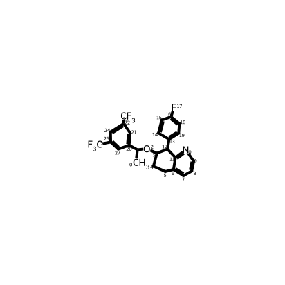 CC(OC1CCc2cccnc2C1c1ccc(F)cc1)c1cc(C(F)(F)F)cc(C(F)(F)F)c1